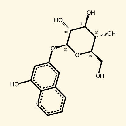 OC[C@H]1O[C@@H](Oc2cc(O)c3ncccc3c2)[C@H](O)[C@@H](O)[C@@H]1O